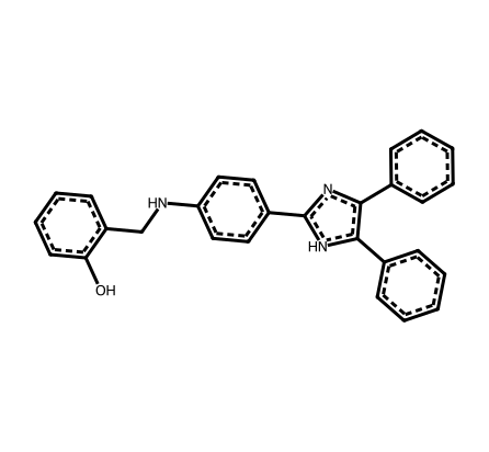 Oc1ccccc1CNc1ccc(-c2nc(-c3ccccc3)c(-c3ccccc3)[nH]2)cc1